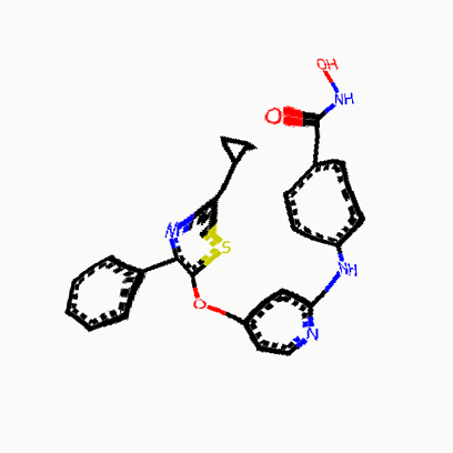 O=C(NO)c1ccc(Nc2cc(Oc3sc(C4CC4)nc3-c3ccccc3)ccn2)cc1